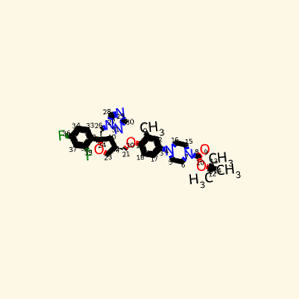 Cc1cc(N2CCN(C(=O)OC(C)(C)C)CC2)ccc1OC[C@@H]1CO[C@@](Cn2cncn2)(c2ccc(F)cc2F)C1